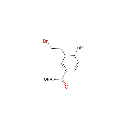 CCCc1ccc(C(=O)OC)cc1CCBr